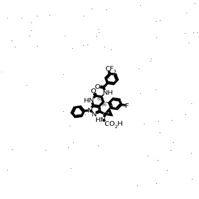 O=C(O)NC1(c2nn(-c3ccccc3)c3c2[C@@H](c2ccc(F)cc2)[C@H](NC(=O)c2cccc(C(F)(F)F)c2)C(=O)N3)CC1